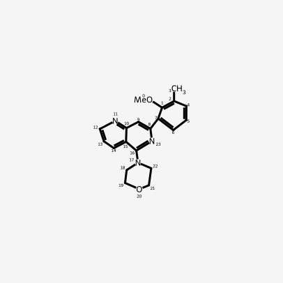 COc1c(C)cccc1-c1cc2ncccc2c(N2CCOCC2)n1